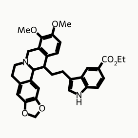 CCOC(=O)c1ccc2[nH]cc(CCC3c4ccc(OC)c(OC)c4CN4CCc5cc6c(cc5C34)OCO6)c2c1